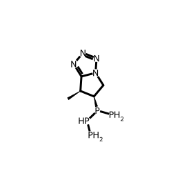 C[C@H]1c2nnnn2C[C@H]1P(P)PP